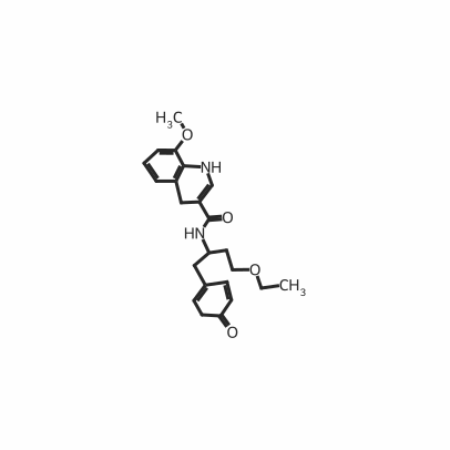 CCOCCC(CC1=CCC(=O)C=C1)NC(=O)C1=CNc2c(cccc2OC)C1